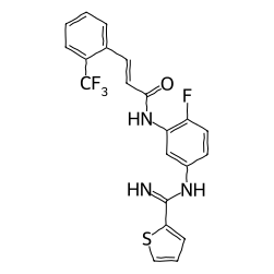 N=C(Nc1ccc(F)c(NC(=O)/C=C/c2ccccc2C(F)(F)F)c1)c1cccs1